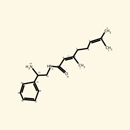 CC(C)=CCC/C(C)=C/C(=O)NCC(N)c1ccccc1